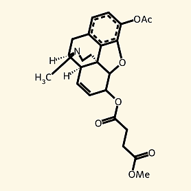 COC(=O)CCC(=O)OC1C=C[C@H]2[C@H]3Cc4ccc(OC(C)=O)c5c4[C@@]2(CCN3C)C1O5